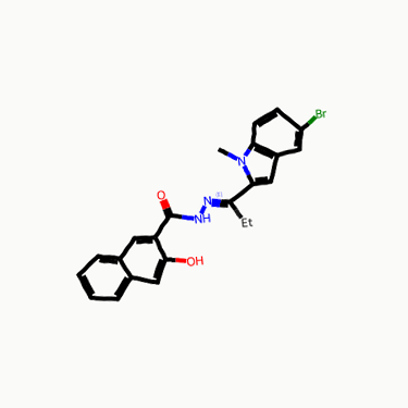 CC/C(=N\NC(=O)c1cc2ccccc2cc1O)c1cc2cc(Br)ccc2n1C